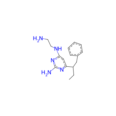 CCC(Cc1ccccc1)c1cc(NCCN)nc(N)n1